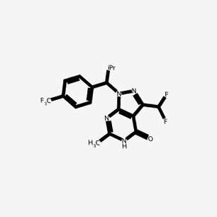 Cc1nc2c(c(C(F)F)nn2C(c2ccc(C(F)(F)F)cc2)C(C)C)c(=O)[nH]1